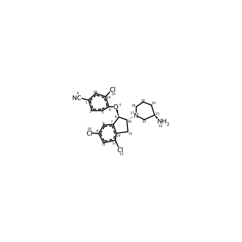 N#Cc1ccc(O[C@@H]2c3cc(Cl)cc(Cl)c3C[C@H]2N2CCC[C@@H](N)C2)c(Cl)c1